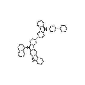 c1ccc(-c2ccc(-n3c4ccccc4c4cc(-c5ccc6c(c5)c5cc7c(cc5n6-c5cccc6ccccc56)sc5ccccc57)ccc43)cc2)cc1